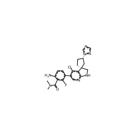 CN(C)C(=O)c1c(N)ccc(-c2cnc3c(c2Cl)[C@]2(CC[C@H](n4cncn4)C2)CN3)c1F